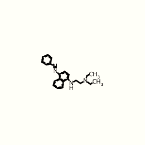 CCN(CC)CCNc1ccc(N=Nc2ccccc2)c2ccccc12